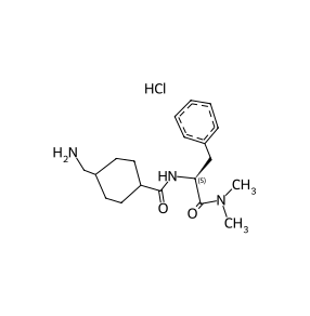 CN(C)C(=O)[C@H](Cc1ccccc1)NC(=O)C1CCC(CN)CC1.Cl